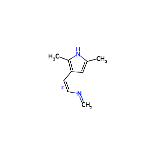 C=N/C=C\c1cc(C)[nH]c1C